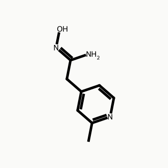 Cc1cc(C/C(N)=N/O)ccn1